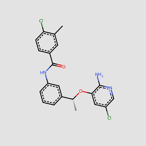 Cc1cc(C(=O)Nc2cccc([C@@H](C)Oc3cc(Cl)cnc3N)c2)ccc1Cl